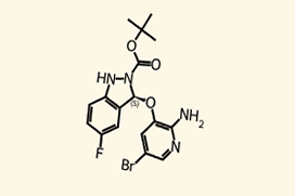 CC(C)(C)OC(=O)N1Nc2ccc(F)cc2[C@@H]1Oc1cc(Br)cnc1N